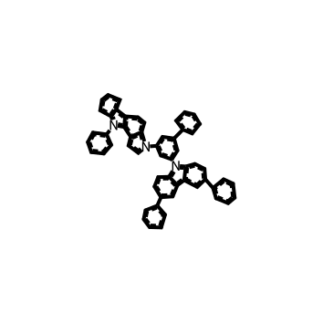 c1ccc(-c2cc(-n3ccc4c3ccc3c5ccccc5n(-c5ccccc5)c34)cc(-n3c4ccc(-c5ccccc5)cc4c4cc(-c5ccccc5)ccc43)c2)cc1